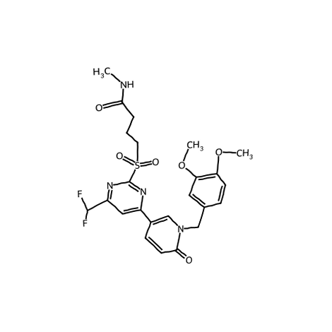 CNC(=O)CCCS(=O)(=O)c1nc(-c2ccc(=O)n(Cc3ccc(OC)c(OC)c3)c2)cc(C(F)F)n1